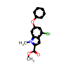 COC(=O)c1cc2c(Br)cc(Oc3ccccc3)cc2n1C